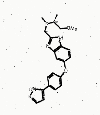 COC[C@H](C)N(C)Cc1nc2cc(Oc3ccc(-c4ccn[nH]4)cc3)ccc2[nH]1